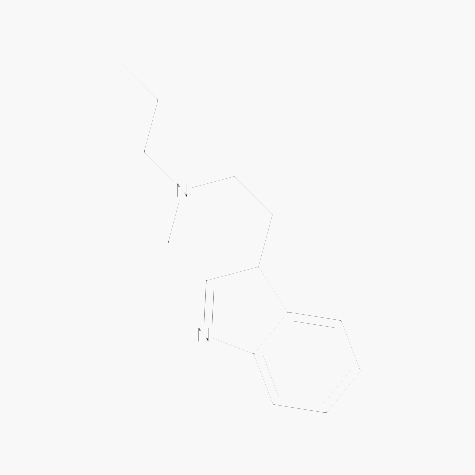 C=CCN1CCC2C(=Nc3ccccc32)C1